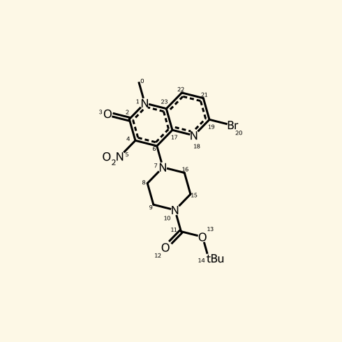 Cn1c(=O)c([N+](=O)[O-])c(N2CCN(C(=O)OC(C)(C)C)CC2)c2nc(Br)ccc21